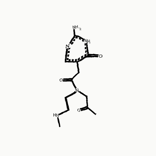 CNCCN(CC(C)=O)C(=O)Cc1cnc(N)[nH]c1=O